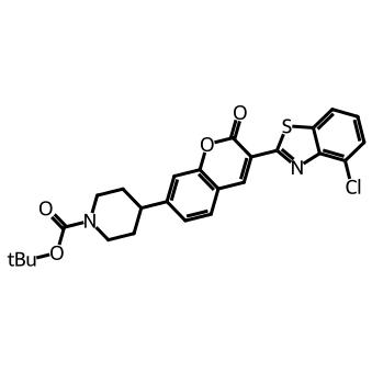 CC(C)(C)OC(=O)N1CCC(c2ccc3cc(-c4nc5c(Cl)cccc5s4)c(=O)oc3c2)CC1